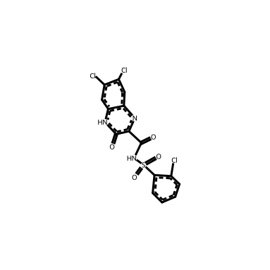 O=C(NS(=O)(=O)c1ccccc1Cl)c1nc2cc(Cl)c(Cl)cc2[nH]c1=O